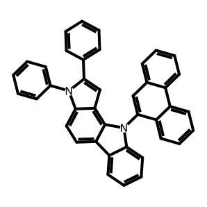 c1ccc(-c2cc3c(ccc4c5ccccc5n(-c5cc6ccccc6c6ccccc56)c43)n2-c2ccccc2)cc1